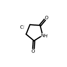 O=C1CCC(=O)N1.[C]